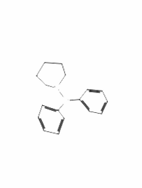 c1ccc(P(c2ccccc2)N2CCCCC2)cc1